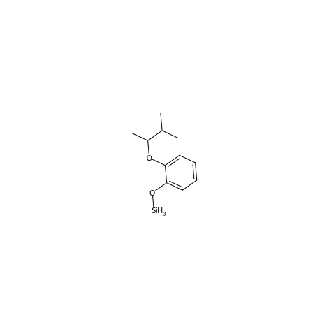 CC(C)C(C)Oc1ccccc1O[SiH3]